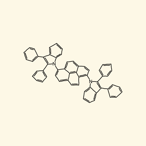 c1ccc(-c2c(-c3ccccc3)n(-c3ccc4ccc5c(-n6c(-c7ccccc7)c(-c7ccccc7)c7ccccc76)ccc6ccc3c4c65)c3ccccc23)cc1